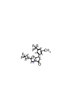 Cc1cc(C2CC(=O)N(/C=C\C(=O)N3CC(F)(F)C3)C2)cc(C(F)(F)F)c1